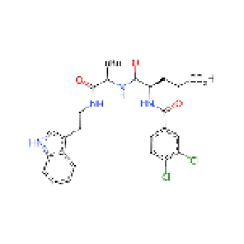 CCCC[C@@H](NC(=O)[C@@H](CCC(=O)O)NC(=O)c1ccc(Cl)c(Cl)c1)C(=O)NCCc1c[nH]c2ccccc12